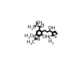 Cc1sccc1[C@H](O)CCc1c(C(=O)N(C)C)cc2c(nc(C)n2C)c1O